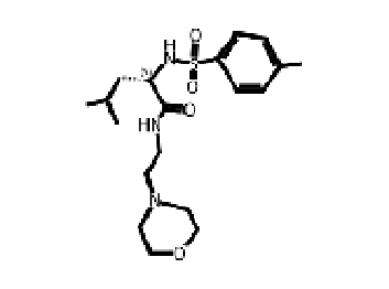 Cc1ccc(S(=O)(=O)N[C@@H](CC(C)C)C(=O)NCCN2CCOCC2)cc1